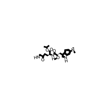 CO[C@@H](Cc1c[nH]c2cc(N(C)C)ccc12)C(=O)N[C@@H](CCC(=O)C=N)C(=O)OC(C)C